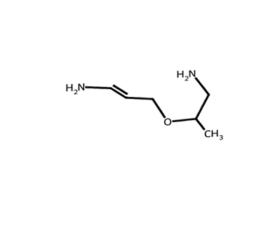 CC(CN)OCC=CN